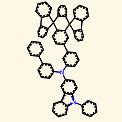 c1ccc(-c2cccc(N(c3cccc(-c4ccc5c(c4)C4(c6ccccc6-c6ccccc64)c4ccccc4C54c5ccccc5-c5ccccc54)c3)c3ccc4c(c3)c3ccccc3n4-c3ccccc3)c2)cc1